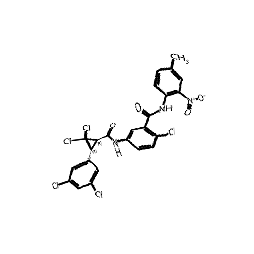 Cc1ccc(NC(=O)c2cc(NC(=O)[C@H]3[C@H](c4cc(Cl)cc(Cl)c4)C3(Cl)Cl)ccc2Cl)c([N+](=O)[O-])c1